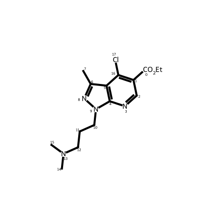 CCOC(=O)c1cnc2c(c(C)nn2CCCN(C)C)c1Cl